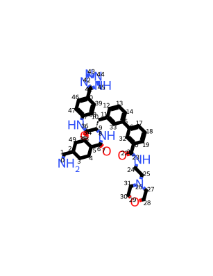 NCC1CCC(C(=O)N[C@@H](Cc2cccc(-c3cccc(C(=O)NCCN4CCOCC4)c3)c2)C(=O)Nc2ccc(-c3nnn[nH]3)cc2)CC1